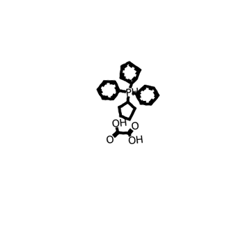 O=C(O)C(=O)O.c1ccc([PH](c2ccccc2)(c2ccccc2)C2CCCC2)cc1